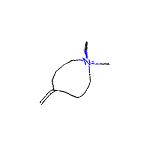 C=C1CC[N+](C)(C)CC1